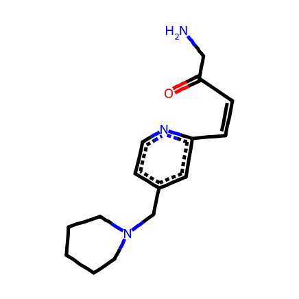 NCC(=O)/C=C\c1cc(CN2CCCCC2)ccn1